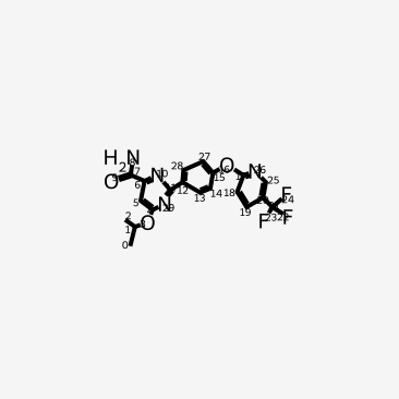 CC(C)Oc1cc(C(N)=O)nc(-c2ccc(Oc3ccc(C(F)(F)F)cn3)cc2)n1